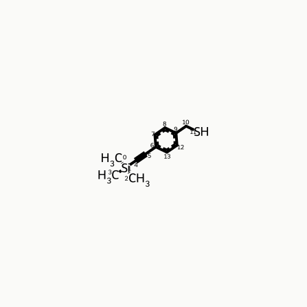 C[Si](C)(C)C#Cc1ccc(CS)cc1